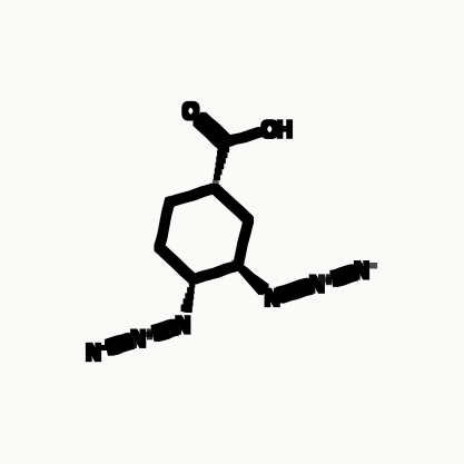 [N-]=[N+]=N[C@@H]1CC[C@H](C(=O)O)C[C@H]1N=[N+]=[N-]